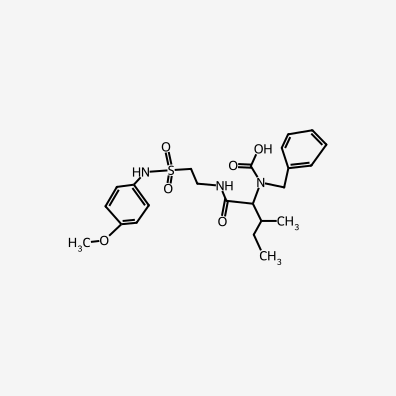 CCC(C)C(C(=O)NCCS(=O)(=O)Nc1ccc(OC)cc1)N(Cc1ccccc1)C(=O)O